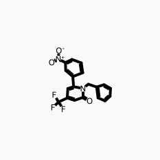 O=c1cc(C(F)(F)F)cc(-c2cccc([N+](=O)[O-])c2)n1Cc1ccccc1